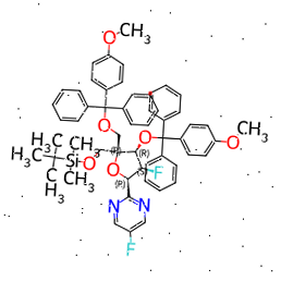 COc1ccc(C(OC[C@]2(CO[Si](C)(C)C(C)(C)C)O[C@H](c3ncc(F)cn3)[C@H](F)[C@@H]2OC(c2ccccc2)(c2ccccc2)c2ccc(OC)cc2)(c2ccccc2)c2ccccc2)cc1